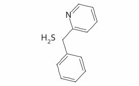 S.c1ccc(Cc2ccccn2)cc1